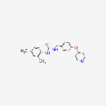 Cc1ccc(NC(=O)NCc2ccc(Oc3ccncc3)cc2)c(C)c1